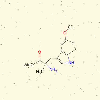 COC(=O)C(C)(N)Cc1c[nH]c2ccc(OC(F)(F)F)cc12